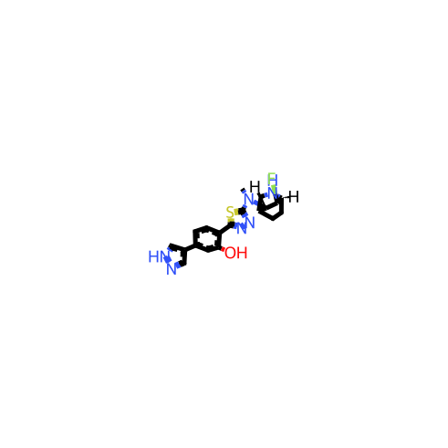 CN(c1nnc(-c2ccc(-c3cn[nH]c3)cc2O)s1)[C@H]1C2CC[C@H](NC2)C1F